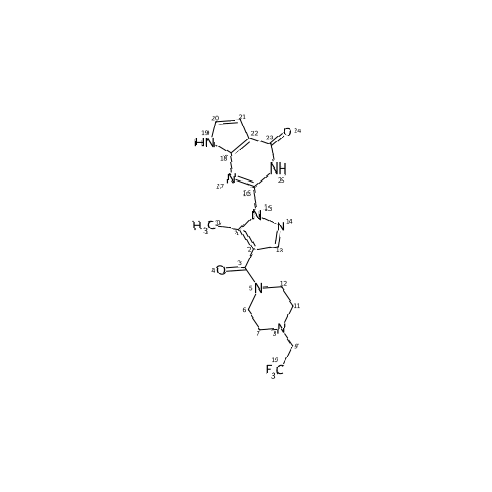 Cc1c(C(=O)N2CCN(CC(F)(F)F)CC2)cnn1-c1nc2[nH]ccc2c(=O)[nH]1